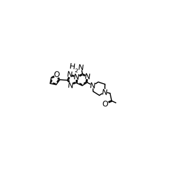 CC(=O)CN1CCN(c2cc3nc(-c4ccco4)nn3c(N)n2)CC1